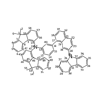 CC1(C)c2ccccc2-c2c(N(c3cccc(-c4cccc5ccc(-n6c7ccccc7c7ccccc76)cc45)c3)c3cccc4c3-c3ccccc3C4(C)C)cccc21